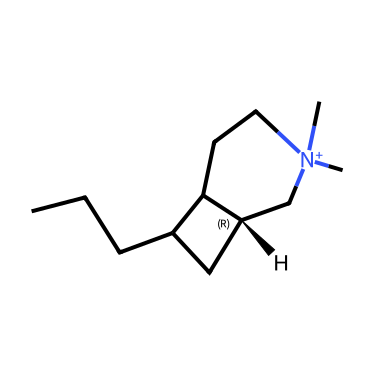 CCCC1C[C@H]2C[N+](C)(C)CCC12